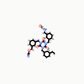 CCC1CCCC(Cn2c(=O)n(CC3CCCC(CN=C=O)C3)c(=O)n(CC3CCCC(COC#N)C3)c2=O)C1